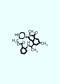 COC(=O)c1ccccc1NC(C)c1cc(C)cc2c(=O)n(C)c(N3CCNCC3)cc12